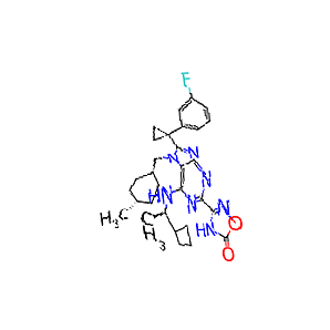 C[C@@H](Nc1nc(-c2noc(=O)[nH]2)nc2nc(C3(c4cccc(F)c4)CC3)n(C[C@H]3CC[C@H](C)CC3)c12)C1CCC1